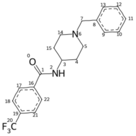 O=C(NC1CCN(Cc2ccccc2)CC1)c1ccc(C(F)(F)F)cc1